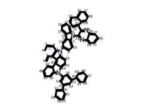 C=Cc1c(/C=C\C)n(-c2ccc3c(c2)c2ccccc2n3-c2nc3ccccc3nc2-c2cccc3ccccc23)c2ccc3c(c4ccccc4n3-c3cc(-c4ccccc4)cc(-c4ccccc4)c3)c12